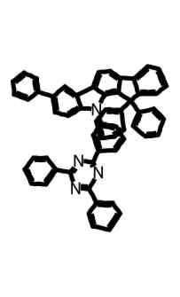 c1ccc(-c2ccc3c(c2)c2ccc4c(c2n3-c2cccc(-c3nc(-c5ccccc5)nc(-c5ccccc5)n3)c2)C(c2ccccc2)(c2ccccc2)c2ccccc2-4)cc1